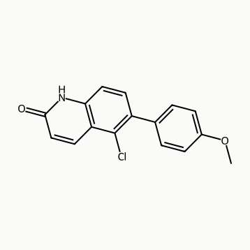 COc1ccc(-c2ccc3[nH]c(=O)ccc3c2Cl)cc1